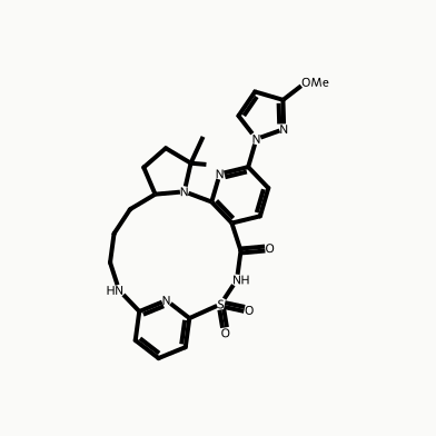 COc1ccn(-c2ccc3c(n2)N2C(CCCNc4cccc(n4)S(=O)(=O)NC3=O)CCC2(C)C)n1